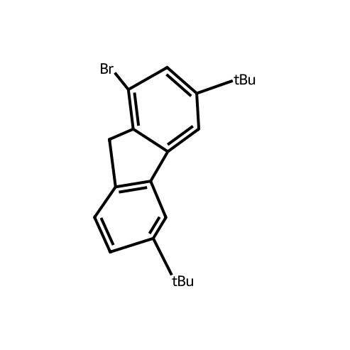 CC(C)(C)c1ccc2c(c1)-c1cc(C(C)(C)C)cc(Br)c1C2